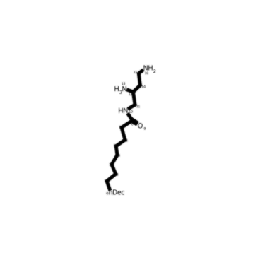 CCCCCCCCCCCCCCCCCC(=O)NCC(N)CCN